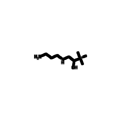 C[N+](C)(C)C(O)CNCCCN